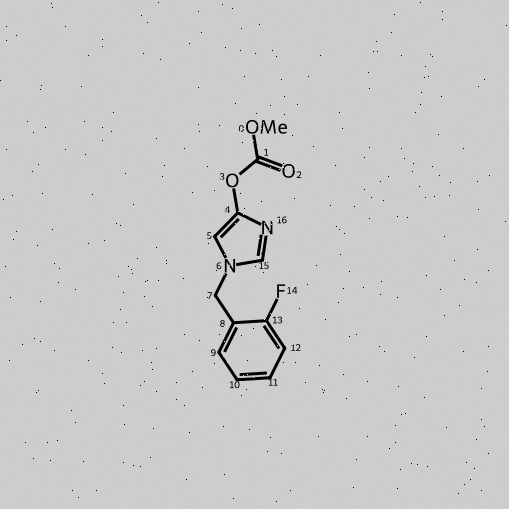 COC(=O)Oc1cn(Cc2ccccc2F)cn1